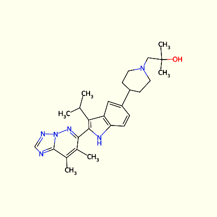 Cc1c(-c2[nH]c3ccc(C4CCN(CC(C)(C)O)CC4)cc3c2C(C)C)nn2ncnc2c1C